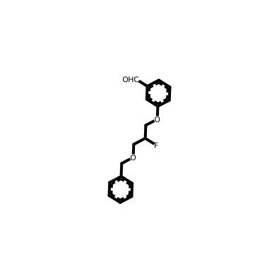 O=Cc1cccc(OCC(F)COCc2ccccc2)c1